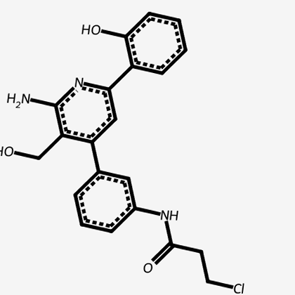 Nc1nc(-c2ccccc2O)cc(-c2cccc(NC(=O)CCCl)c2)c1CO